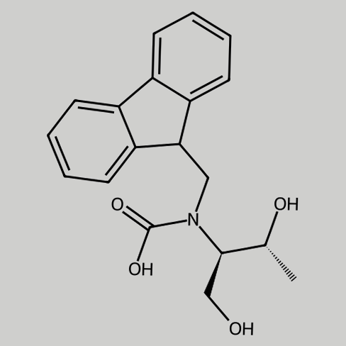 C[C@@H](O)[C@@H](CO)N(CC1c2ccccc2-c2ccccc21)C(=O)O